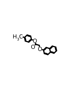 Cc1ccc(OC(=O)COc2ccc3ccccc3c2)cc1